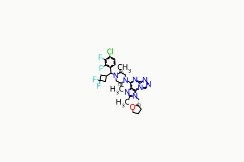 Cc1nc2c(N3C[C@@H](C)N(C(c4ccc(Cl)c(F)c4F)C4CC(F)(F)C4)C[C@@H]3C)nc3nncn3c2n1C[C@@H]1CCCO1